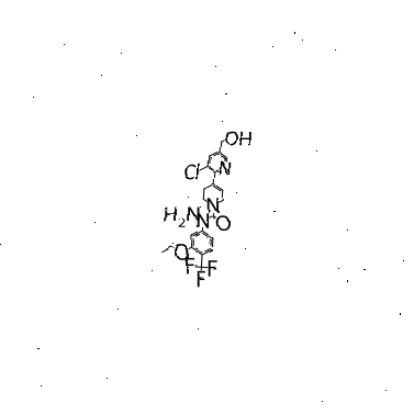 CCOc1cc(N(N)C(=O)N2CC=C(c3ncc(CO)cc3Cl)CC2)ccc1C(F)(F)F